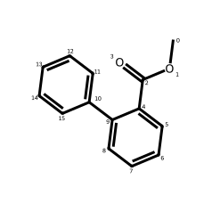 COC(=O)c1ccccc1-c1ccccc1